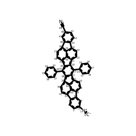 [C-]#[N+]c1ccc2c(c1)-c1ccc3c4c(-c5ccccc5)c5c6ccc7c8c(ccc(c5c(-c5ccccc5)c4c4ccc-2c1c43)c86)-c1cc(C#N)ccc1-7